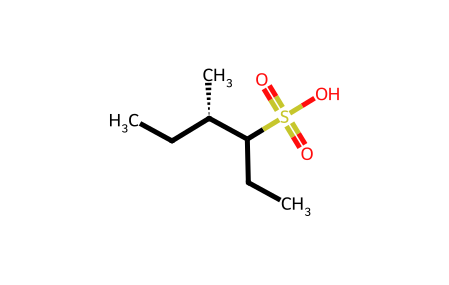 CCC([C@@H](C)CC)S(=O)(=O)O